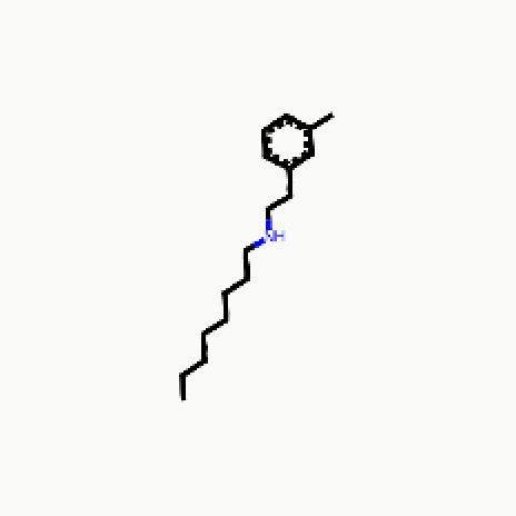 CCCCCCCCNCCc1cccc(C)c1